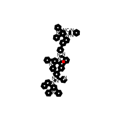 N#Cc1nc2ccccc2nc1-n1c2ccc3cc(-c4ccc5nc(-n6c7ccc8ccc(-c9ccc%10nc(-n%11c%12ccc%13ccccc%13c%12c%12c%13c%14ccccc%14n%14c%15ccccc%15c(cc%12%11)c%13%14)nc(-c%11cccnc%11)c%10c9)cc8c7c7c8c9ccccc9n9c%10ccccc%10c(cc76)c89)c(-c6ccccc6)nc5c4)ccc3c2c2c3c4ccccc4n4c5ccccc5c(cc21)c34